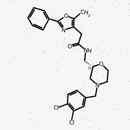 Cc1oc(-c2ccccc2)nc1CC(=O)NC[C@H]1CN(Cc2ccc(Cl)c(Cl)c2)CCO1